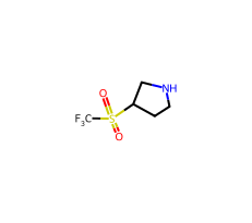 O=S(=O)(C1CCNC1)C(F)(F)F